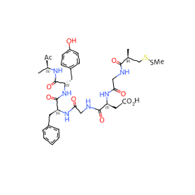 CSSC[C@H](C)C(=O)NCC(=O)N[C@@H](CC(=O)O)C(=O)NCC(=O)N[C@@H](Cc1ccccc1)C(=O)N[C@@H](Cc1ccc(O)cc1)C(=O)N[C@@H](C)C(C)=O